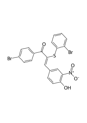 O=C(C(=Cc1ccc(O)c([N+](=O)[O-])c1)Sc1ccccc1Br)c1ccc(Br)cc1